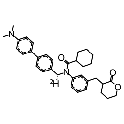 [2H][C@H](c1ccc(-c2ccc(N(C)C)cc2)cc1)N(C(=O)C1CCCCC1)c1cccc(CC2CCCOC2=O)c1